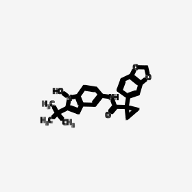 CC(C)(C)c1cc2cc(NC(=O)C3(c4ccc5c(c4)OCO5)CC3)ccc2n1O